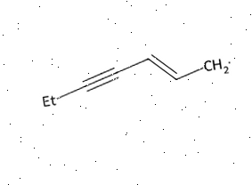 [CH2]C=CC#CCC